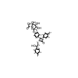 C[C@@]1(Oc2ccc([C@@H]3[C@@H](CC[C@H](O)c4ccc(F)cc4)C(=O)N3c3ccc(I)cc3)cc2)O[C@H](C(=O)O)[C@@H](O)[C@H](O)[C@H]1O